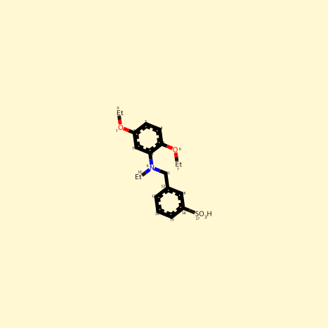 CCOc1ccc(OCC)c(N(CC)Cc2cccc(S(=O)(=O)O)c2)c1